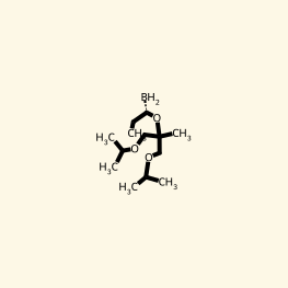 B[C@@H](CC)OC(C)(COC(C)C)COC(C)C